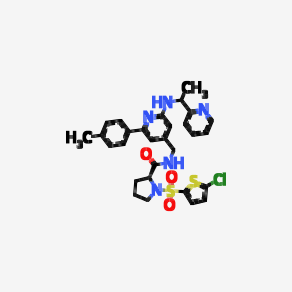 Cc1ccc(-c2cc(CNC(=O)[C@@H]3CCCN3S(=O)(=O)c3ccc(Cl)s3)cc(NC(C)c3ccccn3)n2)cc1